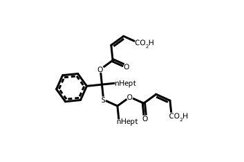 CCCCCCCC(OC(=O)/C=C\C(=O)O)SC(CCCCCCC)(OC(=O)/C=C\C(=O)O)c1ccccc1